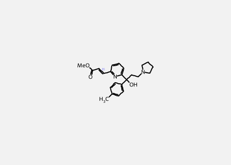 COC(=O)/C=C/c1cccc(C(O)(CCN2CCCC2)c2ccc(C)cc2)n1